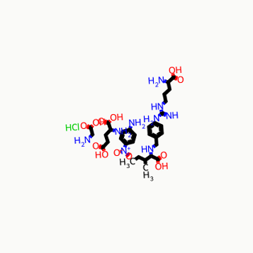 CCC(C)C(NCc1ccccc1)C(=O)O.Cl.N=C(N)NCCCC(N)C(=O)O.NC(CCC(=O)O)C(=O)O.NCC(=O)O.Nc1ccc([N+](=O)[O-])cc1